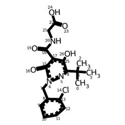 CC(C)(C)c1nn(Cc2ccccc2Cl)c(=O)c(C(=O)NCC(=O)O)c1O